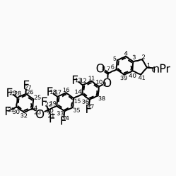 CCCC1Cc2ccc(C(=O)Oc3cc(F)c(-c4cc(F)c(C(F)(F)Oc5cc(F)c(F)c(F)c5)c(F)c4)c(F)c3)cc2C1